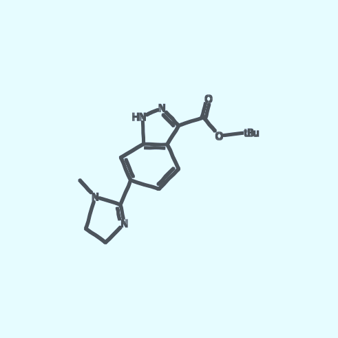 CN1CCN=C1c1ccc2c(C(=O)OC(C)(C)C)n[nH]c2c1